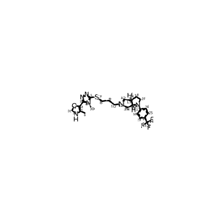 CC1=C(c2nnc(SCCCN3C[C@@H]4CCN(c5ccc(C(F)(F)F)cc5)[C@@H]4C3)n2C)OCN1